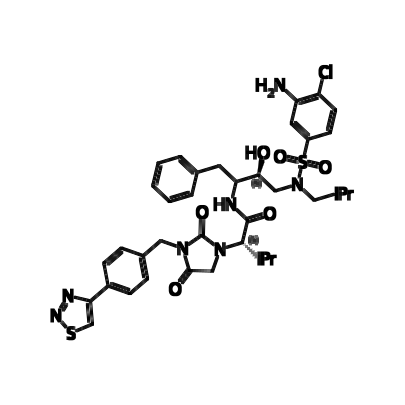 CC(C)CN(C[C@H](O)C(Cc1ccccc1)NC(=O)[C@H](C(C)C)N1CC(=O)N(Cc2ccc(-c3csnn3)cc2)C1=O)S(=O)(=O)c1ccc(Cl)c(N)c1